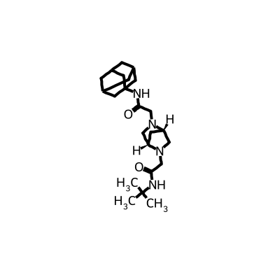 CC(C)(C)NC(=O)CN1C[C@@H]2C[C@H]1CN2CC(=O)NC12CC3CC(CC(C3)C1)C2